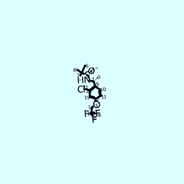 C[C@@H](N[S@+]([O-])C(C)(C)C)c1ccc(OCC(F)(F)F)cc1Cl